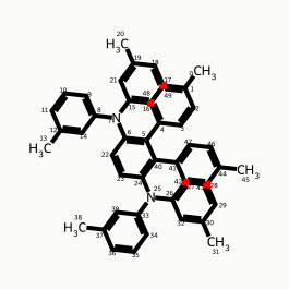 Cc1ccc(-c2c(N(c3cccc(C)c3)c3cccc(C)c3)ccc(N(c3cccc(C)c3)c3cccc(C)c3)c2-c2ccc(C)cc2)cc1